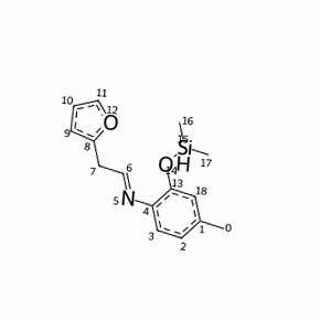 Cc1ccc(N=CCc2ccco2)c(O[SiH](C)C)c1